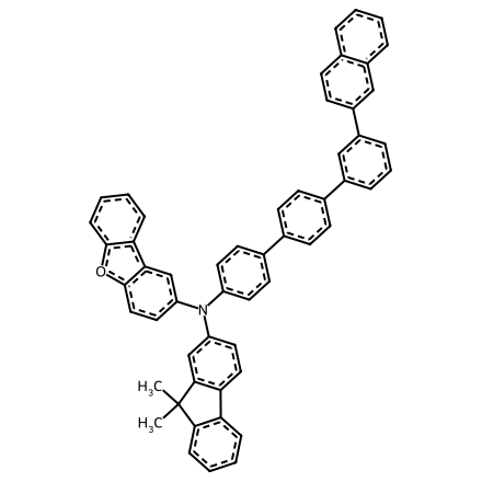 CC1(C)c2ccccc2-c2ccc(N(c3ccc(-c4ccc(-c5cccc(-c6ccc7ccccc7c6)c5)cc4)cc3)c3ccc4oc5ccccc5c4c3)cc21